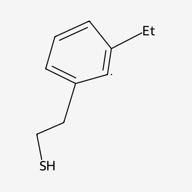 CCc1[c]c(CCS)ccc1